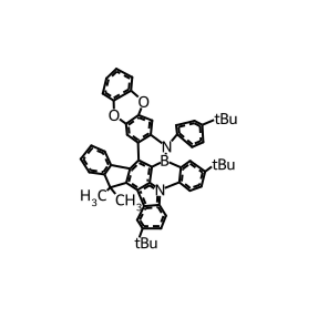 CC(C)(C)c1ccc(N2B3c4cc(C(C)(C)C)ccc4-n4c5ccc(C(C)(C)C)cc5c5c6c(c(c3c54)-c3cc4c(cc32)Oc2ccccc2O4)-c2ccccc2C6(C)C)cc1